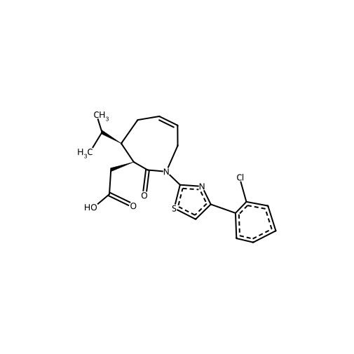 CC(C)[C@H]1CC=CCN(c2nc(-c3ccccc3Cl)cs2)C(=O)[C@H]1CC(=O)O